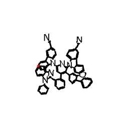 N#Cc1ccc2c(c1)c1ccccc1n2-c1cc(-c2ccccc2-c2nc3ccccc3n2-c2ccccc2)c(-c2ccc3c(c2)oc2ccccc23)c(-n2c3ccccc3c3cc(C#N)ccc32)n1